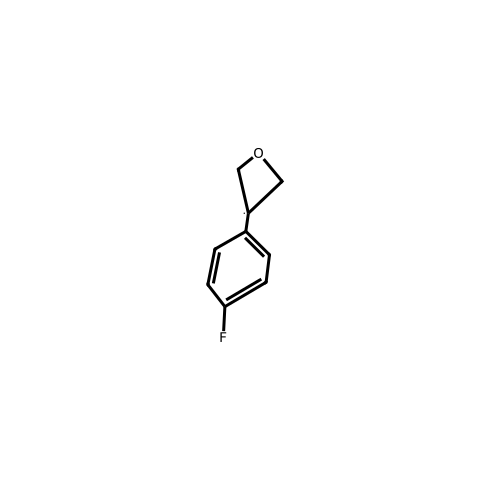 Fc1ccc([C]2COC2)cc1